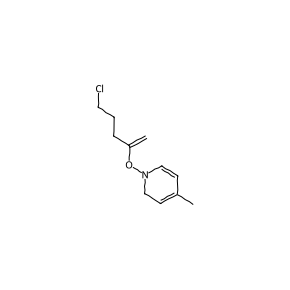 C=C(CCCCl)ON1C=CC(C)=CC1